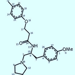 COc1ccc(C[C@@H](CN2CCCC2)NC(=O)CCOc2ccc(C)cc2)cc1